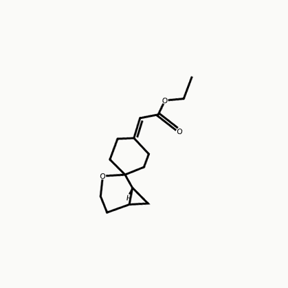 CCOC(=O)C=C1CCC2(CC1)OCCC1C[C@H]12